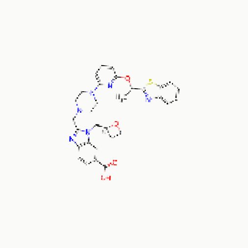 CC(Oc1cccc(N2CCN(Cc3nc4ccc(C(=O)O)cc4n3C[C@@H]3CCO3)CC2)n1)c1nc2ccccc2s1